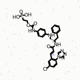 O=C(/C=C/c1cc(Cl)ccc1-n1cnnn1)N[C@H](CNc1ccc(NC(=O)OCCP(=O)(O)O)cc1)Cc1ccccc1